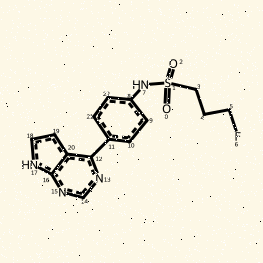 O=S(=O)(CCCF)Nc1ccc(-c2ncnc3[nH]ccc23)cc1